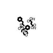 CCC(c1ccccc1)(N1CCOCC1)N1CC(Cc2ccccc2)SC1=O.O=C(O)/C=C/C(=O)O